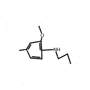 CCCNc1ccc(C)cc1OC